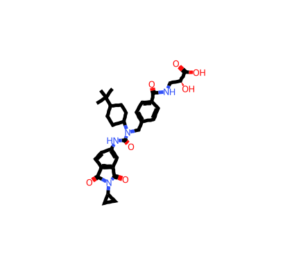 CC(C)(C)C1CCC(N(Cc2ccc(C(=O)NC[C@@H](O)C(=O)O)cc2)C(=O)Nc2ccc3c(c2)C(=O)N(C2CC2)C3=O)CC1